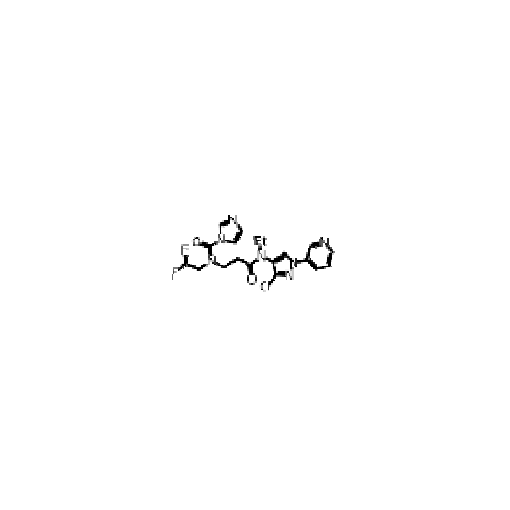 CCN(C(=O)CCN(CC(F)F)C(=O)n1ccnc1)c1cn(-c2cccnc2)nc1Cl